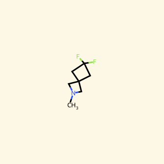 CN1CC2(C1)CC(F)(F)C2